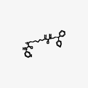 CN(CCCCCCNC(=O)NCCC(c1ccccc1)c1ccccc1)C(=O)Nc1cccnc1